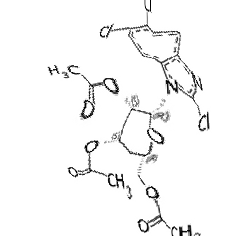 CC(=O)OC[C@H]1O[C@@H](n2c(Cl)nc3cc(Cl)c(Cl)cc32)[C@@H](OC(C)=O)[C@H]1OC(C)=O